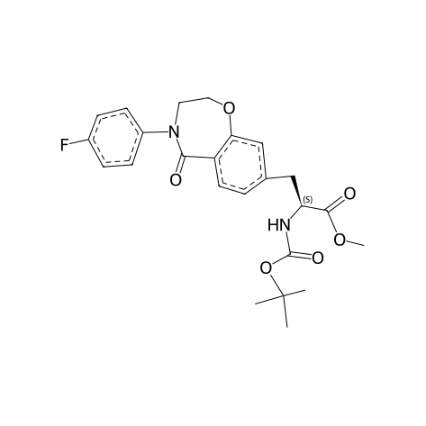 COC(=O)[C@H](Cc1ccc2c(c1)OCCN(c1ccc(F)cc1)C2=O)NC(=O)OC(C)(C)C